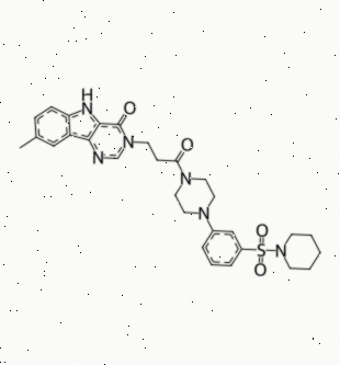 Cc1ccc2[nH]c3c(=O)n(CCC(=O)N4CCN(c5cccc(S(=O)(=O)N6CCCCC6)c5)CC4)cnc3c2c1